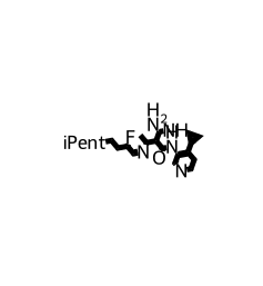 CCCC(C)CCC(F)/C=N\C(C)C(C(=O)NC1=C(C2CC2)CCN=C1)C(N)N